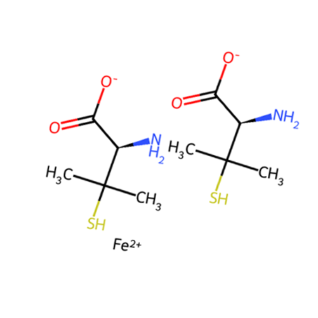 CC(C)(S)[C@H](N)C(=O)[O-].CC(C)(S)[C@H](N)C(=O)[O-].[Fe+2]